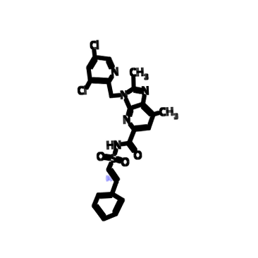 Cc1cc(C(=O)NS(=O)(=O)/C=C/c2ccccc2)nc2c1nc(C)n2Cc1ncc(Cl)cc1Cl